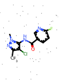 Cn1nc(C(F)(F)F)c(Cl)c1NC(=O)c1ccc(F)nc1